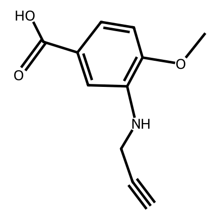 C#CCNc1cc(C(=O)O)ccc1OC